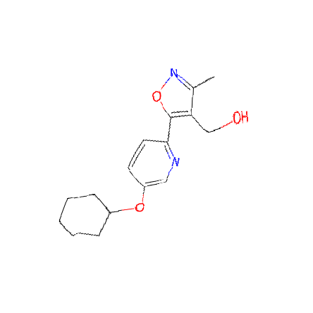 Cc1noc(-c2ccc(OC3CCCCC3)cn2)c1CO